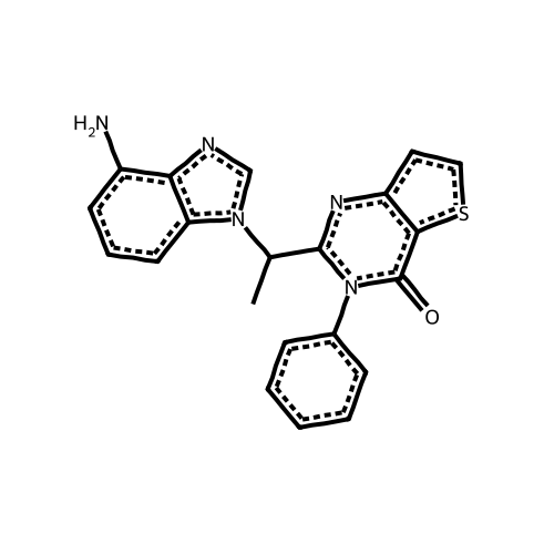 CC(c1nc2ccsc2c(=O)n1-c1ccccc1)n1cnc2c(N)cccc21